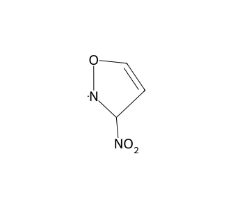 O=[N+]([O-])C1C=CO[N]1